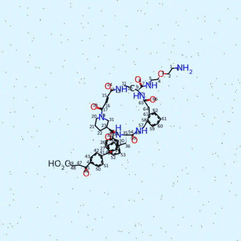 NCCOCCNC(=O)[C@@H]1CCNC(=O)/C=C/C(=O)N2CCC[C@](Cc3ccccc3)(C2)C(=O)N[C@@H](Cc2ccc(-c3ccc(C(=O)CCC(=O)O)cc3)cc2)C(=O)NCc2ccccc2CC(=O)N1